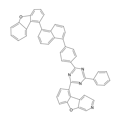 c1ccc(-c2nc(-c3ccc(-c4cccc5c(-c6cccc7oc8ccccc8c67)cccc45)cc3)nc(-c3cccc4oc5cnccc5c34)n2)cc1